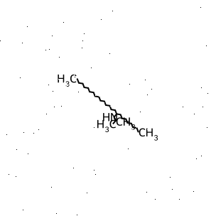 CCCCCCCCCCCCCCCCC(CCCCCCCCC)NC(C)C